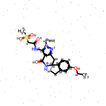 CCCC(C)n1nc2c(c1NC(=O)CS(C)(=O)=O)C(=O)N[C@@]1(CCc3cc(OCC(F)(F)F)ccc31)C2